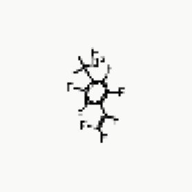 BC(C)(C)c1c(F)c(F)c(C(F)=C(F)F)c(F)c1F